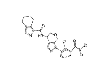 CCN(CC)C(=O)c1cccc(-n2ncc3c2COCC3NC(=O)c2ncn3c2CCCC3)c1Cl